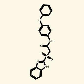 O=C(CS(=O)(=O)c1nc2ccccc2[nH]1)Nc1ccc(Oc2ccccc2)cc1